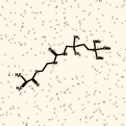 C=C(C)C(=O)OCCNC(=O)NCC(C)(C)CC[Si](OC)(OC)OC